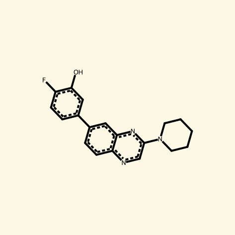 Oc1cc(-c2ccc3ncc(N4CCCCC4)nc3c2)ccc1F